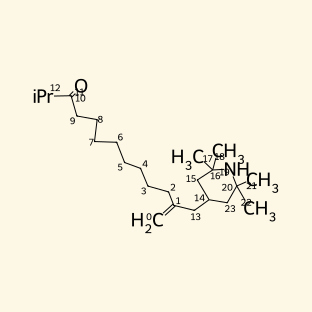 C=C(CCCCCCCCC(=O)C(C)C)CC1CC(C)(C)NC(C)(C)C1